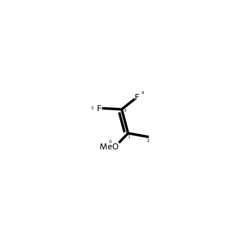 COC(C)=C(F)F